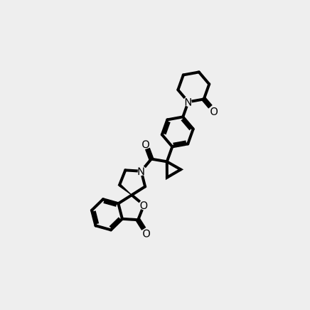 O=C1O[C@]2(CCN(C(=O)C3(c4ccc(N5CCCCC5=O)cc4)CC3)C2)c2ccccc21